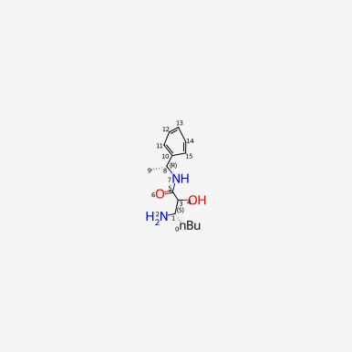 CCCC[C@H](N)C(O)C(=O)N[C@H](C)c1ccccc1